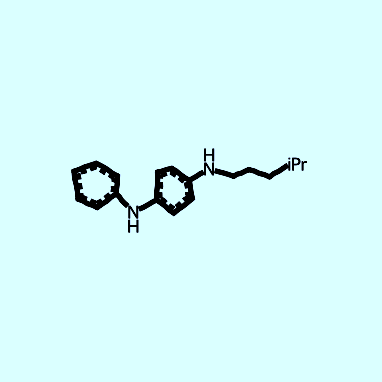 CC(C)CCCNc1ccc(Nc2ccccc2)cc1